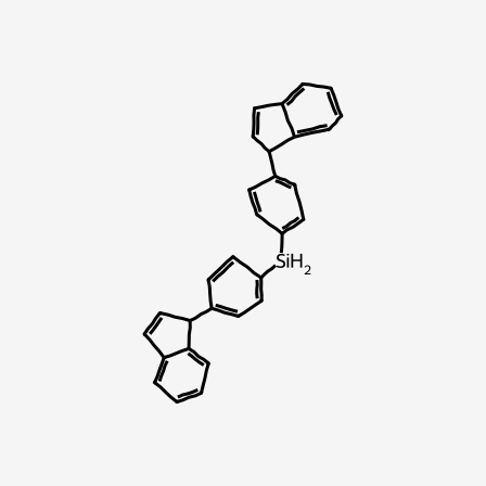 C1=CC(c2ccc([SiH2]c3ccc(C4C=Cc5ccccc54)cc3)cc2)c2ccccc21